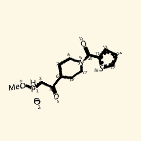 CO[PH](=O)CC(=O)C1CCN(C(=O)c2cccs2)CC1